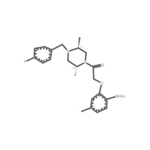 CC(=O)Nc1ccc(C)cc1OCC(=O)N1C[C@H](C)N(Cc2ccc(F)cc2)C[C@H]1C